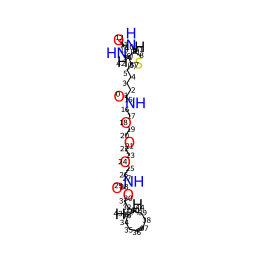 O=C(CCCC[C@@H]1SC[C@@H]2NC(=O)N[C@@H]21)NCCOCCOCCOCCNC(=O)OCC1[C@H]2CCC#CCC[C@@H]12